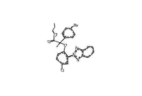 CCOC(=O)C(C)(Oc1ccc(Cl)cc1-n1nc2ccccc2n1)c1ccc(Br)cc1